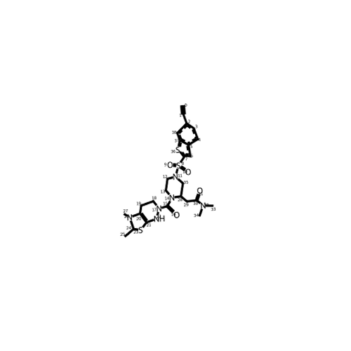 C#Cc1ccc2cc(S(=O)(=O)N3CCN(C(=O)N4CCC5=C(N4)SC(C)N5C)C(CC(=O)N(C)C)C3)sc2c1